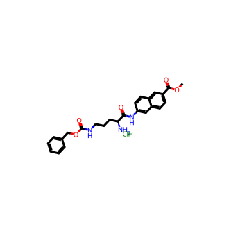 COC(=O)c1ccc2cc(NC(=O)[C@@H](N)CCCNC(=O)OCc3ccccc3)ccc2c1.Cl